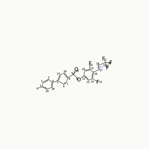 Cc1ccc(-c2ccc(C(=O)Oc3cc(F)c(/C=C/C(F)(F)F)c(F)c3)cc2)cc1